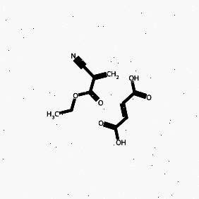 C=C(C#N)C(=O)OCC.O=C(O)C=CC(=O)O